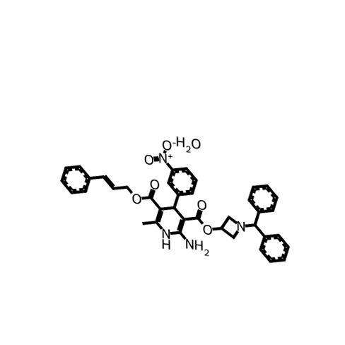 CC1=C(C(=O)OCC=Cc2ccccc2)C(c2cccc([N+](=O)[O-])c2)C(C(=O)OC2CN(C(c3ccccc3)c3ccccc3)C2)=C(N)N1.O